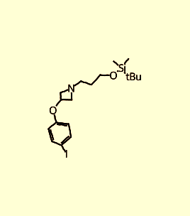 CC(C)(C)[Si](C)(C)OCCCN1CC(Oc2ccc(I)cc2)C1